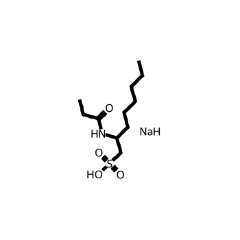 CCCCCCC(CS(=O)(=O)O)NC(=O)CC.[NaH]